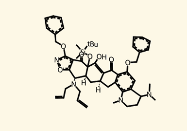 C=CCN(CC=C)[C@@H]1c2onc(OCc3ccccc3)c2C(=O)C2(O[Si](C)(C)C(C)(C)C)C(O)=C3C(=O)c4c(OCc5ccccc5)cc5c(c4C[C@H]3C[C@@H]12)N(C)CCC5N(C)C